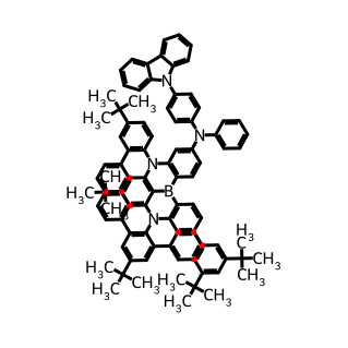 CC(C)(C)c1cc(-c2ccc3c(c2)N(c2c(-c4ccccc4)cc(C(C)(C)C)cc2-c2ccccc2)c2cc(C(C)(C)C)cc4c2B3c2ccc(N(c3ccccc3)c3ccc(-n5c6ccccc6c6ccccc65)cc3)cc2N4c2ccc(C(C)(C)C)cc2-c2ccccc2)cc(C(C)(C)C)c1